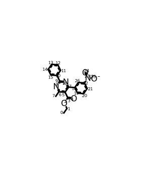 CCOC(=O)c1c(C)nc(-c2ccccc2)nc1-c1cccc([N+](=O)[O-])c1